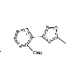 COc1ncccc1-c1noc(C)n1